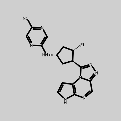 CC[C@H]1C[C@@H](Nc2cnc(C#N)cn2)C[C@@H]1c1nnc2cnc3[nH]ccc3n12